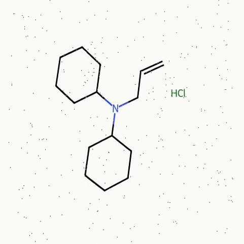 C=CCN(C1CCCCC1)C1CCCCC1.Cl